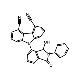 N#Cc1cccc2c1c1c(C#N)cccc1n2-c1cccc2c1C(O)N(c1ccccc1)C2=O